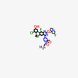 C=CC(=O)N1CCN(c2nc(OC[C@@]34CCCN3C[C@H](F)C4)nc3c(F)c(-c4cc(O)cc(Cl)c4C4CC4)c(Cl)cc23)CC12COC2